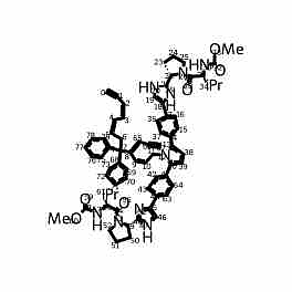 C#C/C=C\C=C/CC(C(/C=C\Cn1c(-c2ccc(C3=CN[C@@H]([C@@H]4CCCN4C(=O)[C@@H](NC(=O)OC)C(C)C)N3)cc2)ccc1-c1ccc(-c2c[nH]c([C@@H]3CCCN3C(=O)[C@@H](NC(=O)OC)C(C)C)n2)cc1)=C/C#C)(c1ccccc1)c1ccccc1